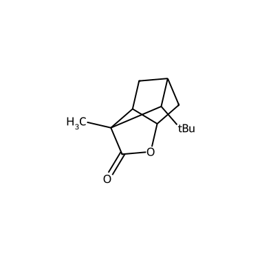 CC(C)(C)C1C2CC3OC(=O)C1(C)C3C2